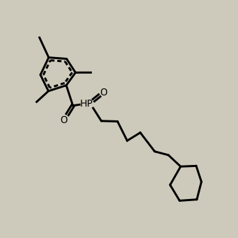 Cc1cc(C)c(C(=O)[PH](=O)CCCCCCC2CCCCC2)c(C)c1